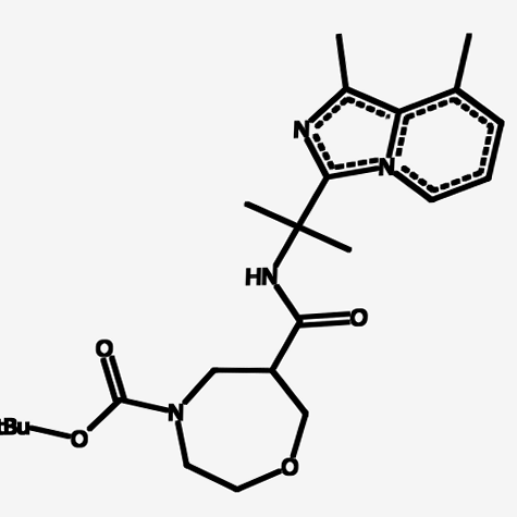 Cc1cccn2c(C(C)(C)NC(=O)C3COCCN(C(=O)OC(C)(C)C)C3)nc(C)c12